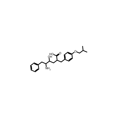 CC(C)COc1ccc(CC(CC(O)C(N)Cc2ccccc2)C(=O)O)cc1